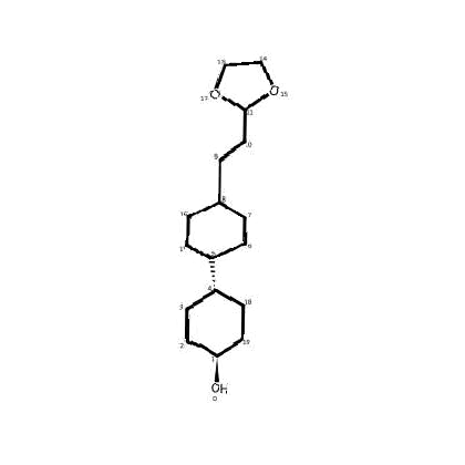 O[C@H]1CC[C@H](C2CCC(CCC3OCCO3)CC2)CC1